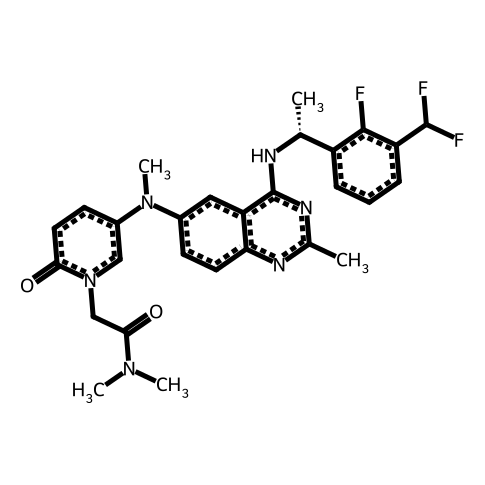 Cc1nc(N[C@H](C)c2cccc(C(F)F)c2F)c2cc(N(C)c3ccc(=O)n(CC(=O)N(C)C)c3)ccc2n1